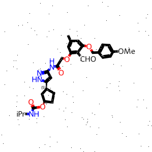 COc1ccc(COc2cc(C)cc(OCC(=O)Nc3cc([C@H]4CC[C@@H](OC(=O)NC(C)C)C4)[nH]n3)c2C=O)cc1